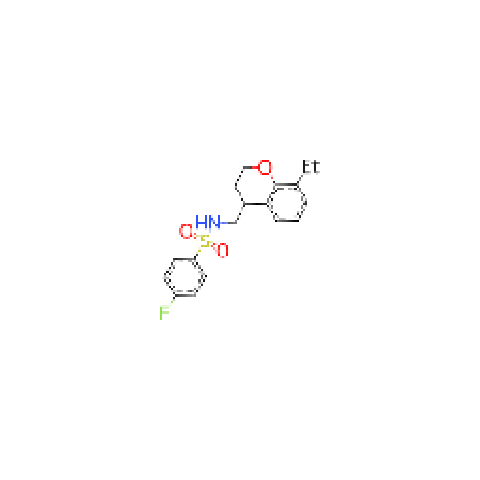 CCc1cccc2c1OCCC2CNS(=O)(=O)c1ccc(F)cc1